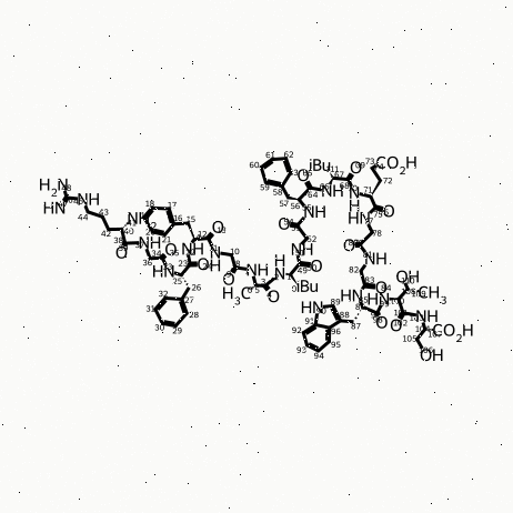 CC[C@H](C)[C@H](NC(=O)[C@H](C)NC(=O)CNC(=O)[C@H](Cc1ccccc1)NC(=O)[C@H](Cc1ccccc1)NC(=O)CNC(=O)[C@@H](N)CCCNC(=N)N)C(=O)NCC(=O)N[C@@H](Cc1ccccc1)C(=O)N[C@H](C(=O)N[C@@H](CCC(=O)O)C(=O)NCC(=O)NCC(=O)N[C@@H](Cc1c[nH]c2ccccc12)C(=O)N[C@H](C(=O)N[C@@H](CO)C(=O)O)[C@@H](C)O)[C@@H](C)CC